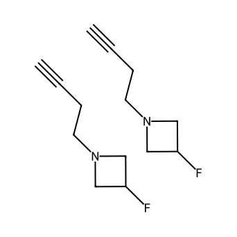 C#CCCN1CC(F)C1.C#CCCN1CC(F)C1